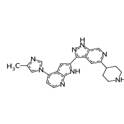 Cc1cn(-c2ccnc3[nH]c(-c4n[nH]c5cnc(C6CCNCC6)cc45)cc23)cn1